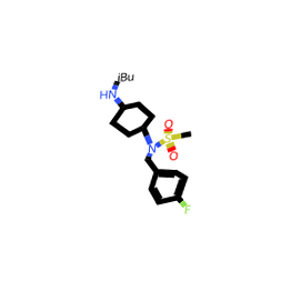 CCC(C)NC1CCC(N(Cc2ccc(F)cc2)S(C)(=O)=O)CC1